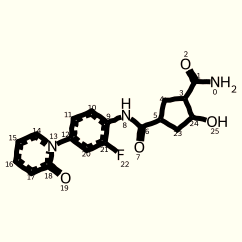 NC(=O)C1CC(C(=O)Nc2ccc(-n3ccccc3=O)cc2F)CC1O